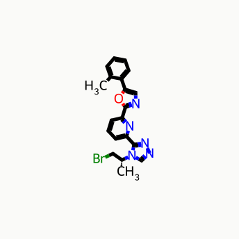 Cc1ccccc1-c1cnc(-c2cccc(-c3nncn3[C@H](C)CBr)n2)o1